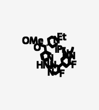 CCN1CCC([C@@H](C(=O)OC)c2ccc(Nc3ncc(F)c(-c4cc(F)c5nc(C)n(C(C)C)c5c4)n3)nc2)CC1